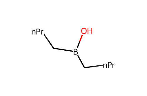 CCCCB(O)CCCC